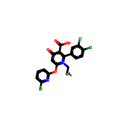 CCn1c(Oc2cccc(Br)n2)cc(=O)c(C(=O)O)c1-c1ccc(Cl)c(Cl)c1